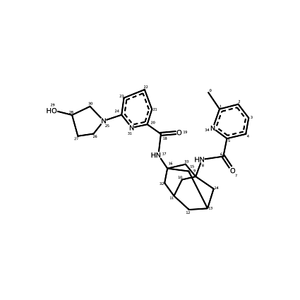 Cc1cccc(C(=O)NC23CC4CC(C2)CC(NC(=O)c2cccc(N5CCC(O)C5)n2)(C4)C3)n1